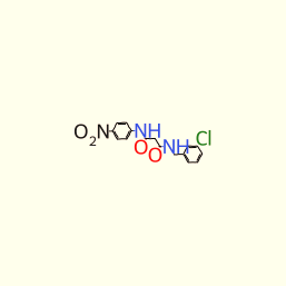 O=C(CC(=O)Nc1ccc([N+](=O)[O-])cc1)NCc1cccc(Cl)c1